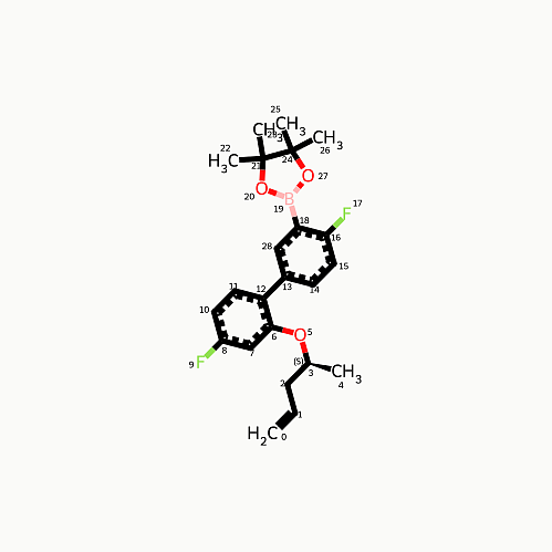 C=CC[C@H](C)Oc1cc(F)ccc1-c1ccc(F)c(B2OC(C)(C)C(C)(C)O2)c1